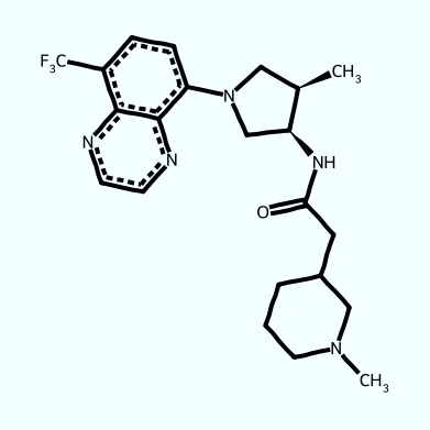 C[C@@H]1CN(c2ccc(C(F)(F)F)c3nccnc23)C[C@@H]1NC(=O)CC1CCCN(C)C1